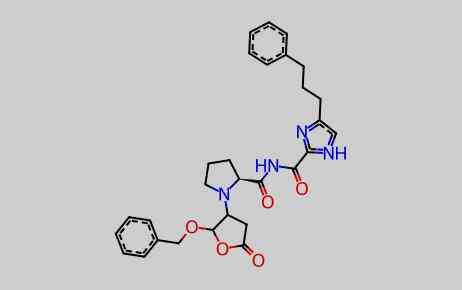 O=C1CC(N2CCC[C@H]2C(=O)NC(=O)c2nc(CCCc3ccccc3)c[nH]2)C(OCc2ccccc2)O1